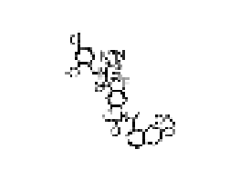 COc1ccc(CN(c2ncns2)S(=O)(=O)c2cc3oc(=O)n(C(C)c4cccc5c4CC4(CC5)OCCO4)c3cc2F)c(OC)c1